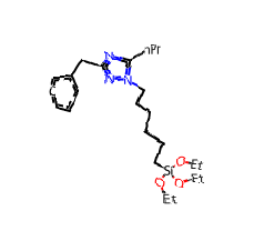 CCCc1nc(Cc2ccccc2)nn1CCCCCC[Si](OCC)(OCC)OCC